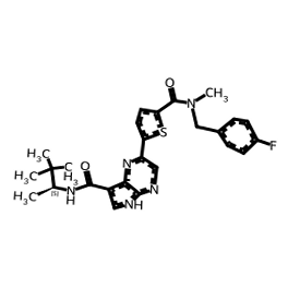 C[C@H](NC(=O)c1c[nH]c2ncc(-c3ccc(C(=O)N(C)Cc4ccc(F)cc4)s3)nc12)C(C)(C)C